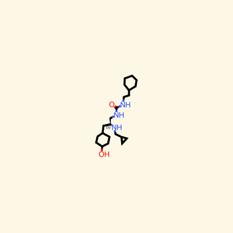 O=C(NCCC1CCCCC1)NC[C@H](CC1CCC(O)CC1)NCC1CC1